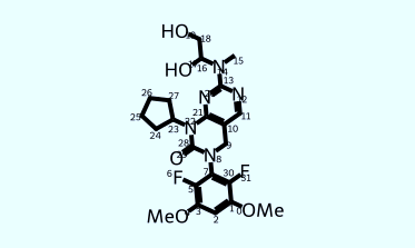 COc1cc(OC)c(F)c(N2Cc3cnc(N(C)C(O)CO)nc3N(C3CCCC3)C2=O)c1F